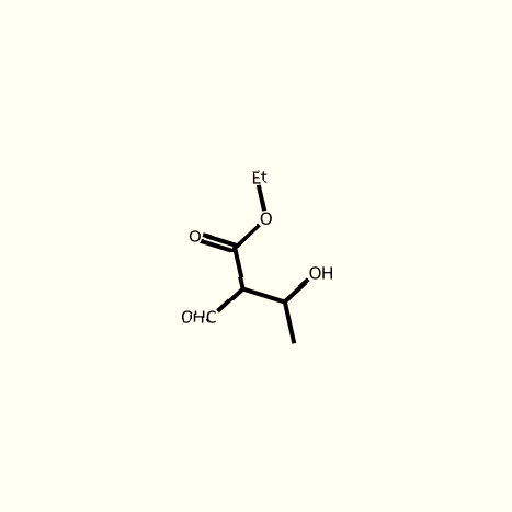 CCOC(=O)C(C=O)C(C)O